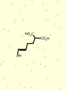 CCCC=CCCC(C(=O)O)C(=O)O